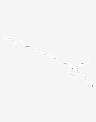 CCCCCCCCCCCCCCCN1C=CN(CCCC)C1CCC